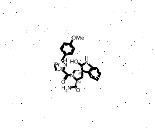 COc1ccc(CN[C@@H](CC(C)C)C(=O)N2C[C@@]3(C[C@H]2C(N)=O)c2ccccc2NC3O)cc1